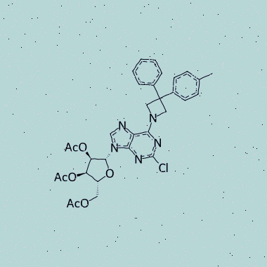 CC(=O)OC[C@H]1O[C@@H](n2cnc3c(N4CC(c5ccccc5)(c5ccc(C)cc5)C4)nc(Cl)nc32)[C@H](OC(C)=O)[C@@H]1OC(C)=O